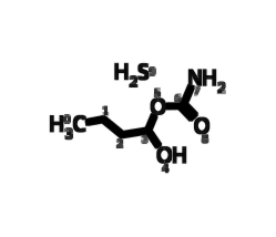 CCCC(O)OC(N)=O.S